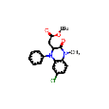 CN1C(=O)C(CC(=O)OC(C)(C)C)N(c2ccccc2)c2cc(Cl)ccc21